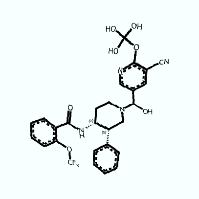 N#Cc1cc(C(O)N2CC[C@@H](NC(=O)c3ccccc3OC(F)(F)F)[C@@H](c3ccccc3)C2)cnc1OC(O)(O)O